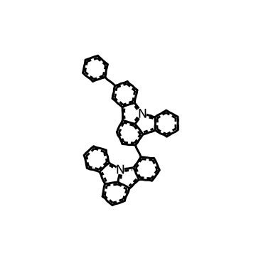 c1ccc(-c2ccc3c(c2)c2ccc(-c4cccc5c6cccc7c8ccccc8n(c45)c76)c4c5ccccc5n3c24)cc1